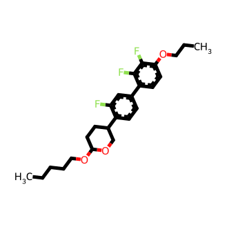 CCCCCOC1CCC(c2ccc(-c3ccc(OCCC)c(F)c3F)cc2F)CO1